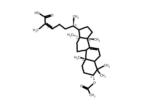 CC(=O)O[C@@H]1CC[C@]2(C)C3CC[C@@]4(C)C([C@H](C)CC/C=C(/C)C(=O)O)CC[C@]4(C)C3=CCC2C1(C)C